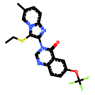 CCSc1c(-n2cnc3ccc(OC(F)(F)F)cc3c2=O)nc2ccc(C)cn12